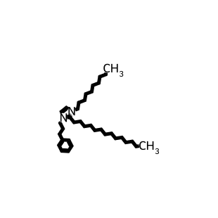 CCCCCCCCCCCCCCc1n(CCCCCCCCCC)cc[n+]1CCCc1ccccc1